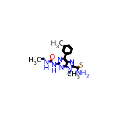 CCNC(=O)Nc1nc(-c2cccc(C)c2)c2nc(C(N)=S)n(C)c2n1